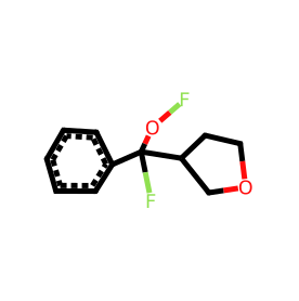 FOC(F)(c1ccccc1)C1CCOC1